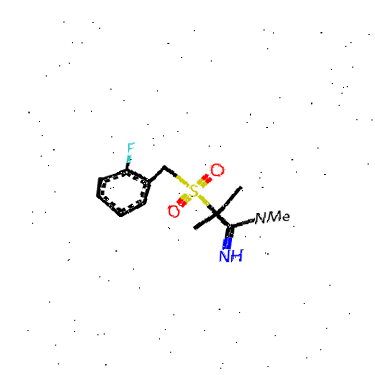 CNC(=N)C(C)(C)S(=O)(=O)Cc1ccccc1F